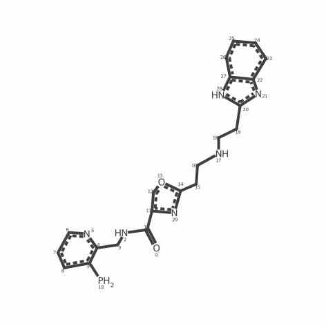 O=C(NCc1ncccc1P)c1coc(CCNCCc2nc3ccccc3[nH]2)n1